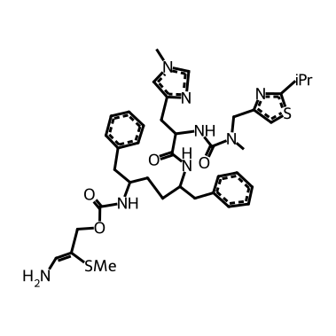 CS/C(=C\N)COC(=O)NC(CCC(Cc1ccccc1)NC(=O)C(Cc1cn(C)cn1)NC(=O)N(C)Cc1csc(C(C)C)n1)Cc1ccccc1